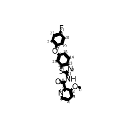 COc1cccnc1C(=O)Nc1nc2ccc(Oc3ccc(F)cc3)cc2s1